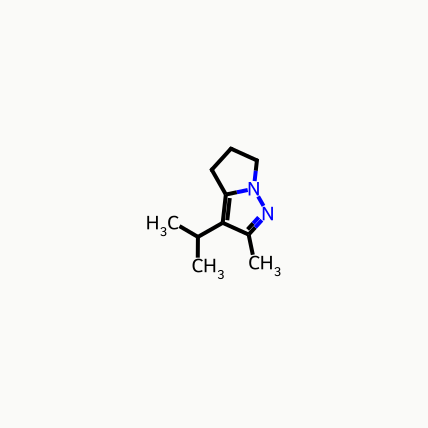 Cc1nn2c(c1C(C)C)CCC2